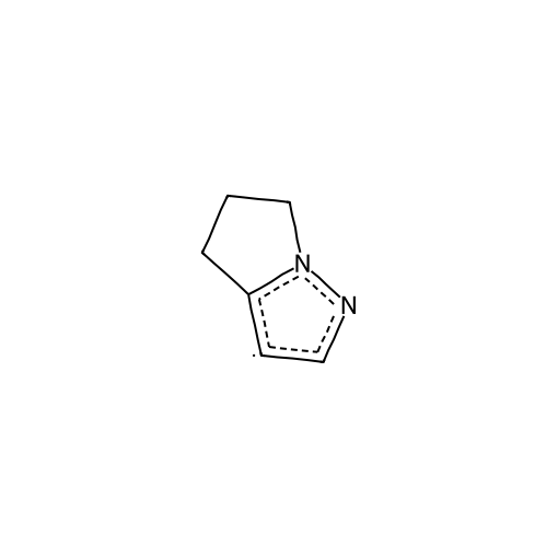 [c]1cnn2c1CCC2